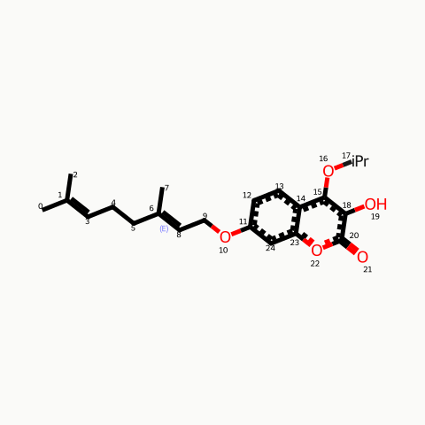 CC(C)=CCC/C(C)=C/COc1ccc2c(OC(C)C)c(O)c(=O)oc2c1